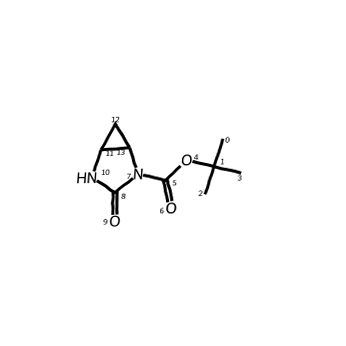 CC(C)(C)OC(=O)N1C(=O)NC2CC21